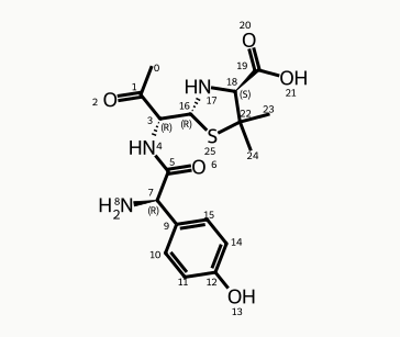 CC(=O)[C@@H](NC(=O)[C@H](N)c1ccc(O)cc1)[C@@H]1N[C@@H](C(=O)O)C(C)(C)S1